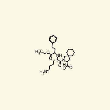 CCOC(=O)C(CCc1ccccc1)N[C@@H](CCCCN)C(=O)N1CC2(CCCCC2)CC1C(=O)O